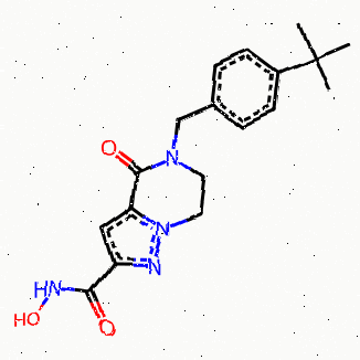 CC(C)(C)c1ccc(CN2CCn3nc(C(=O)NO)cc3C2=O)cc1